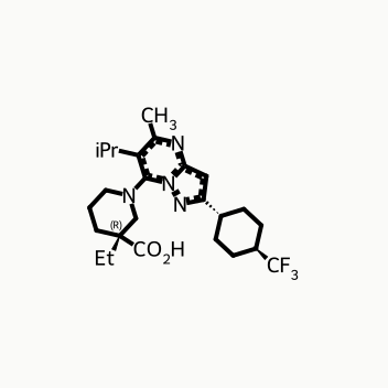 CC[C@@]1(C(=O)O)CCCN(c2c(C(C)C)c(C)nc3cc([C@H]4CC[C@H](C(F)(F)F)CC4)nn23)C1